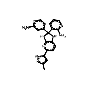 Cc1cc(-c2ccc3c(n2)NC(c2ccnc(N)c2)(c2cccnc2N)N3)[nH]n1